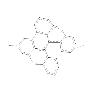 C[n+]1ccc2c(c1)oc1cccc3c4c[n+](C)cc5oc6ccccc6c(c54)c2c13